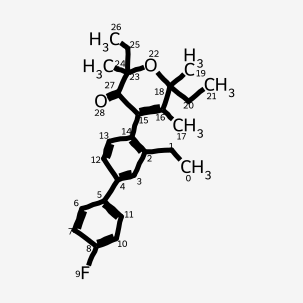 CCc1cc(-c2ccc(F)cc2)ccc1C1=C(C)C(C)(CC)OC(C)(CC)C1=O